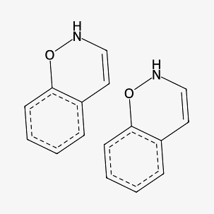 C1=Cc2ccccc2ON1.C1=Cc2ccccc2ON1